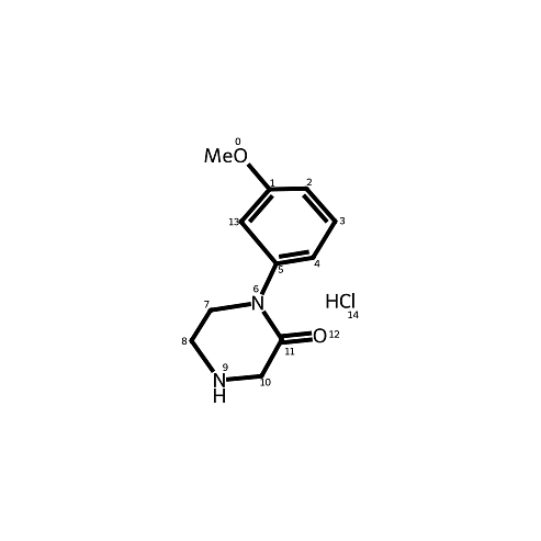 COc1cccc(N2CCNCC2=O)c1.Cl